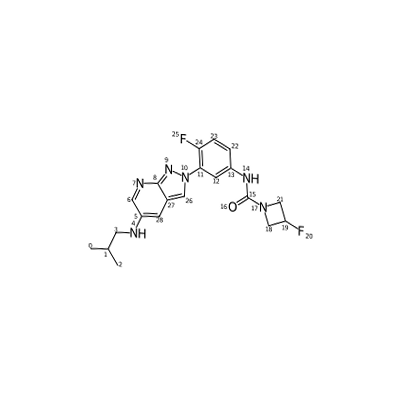 CC(C)CNc1cnc2nn(-c3cc(NC(=O)N4CC(F)C4)ccc3F)cc2c1